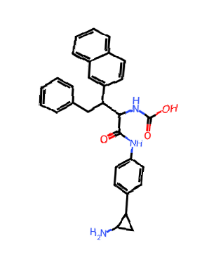 NC1CC1c1ccc(NC(=O)C(NC(=O)O)C(Cc2ccccc2)c2ccc3ccccc3c2)cc1